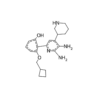 Nc1nc(-c2c(O)cccc2OCC2CCC2)cc(C2CCCNC2)c1N